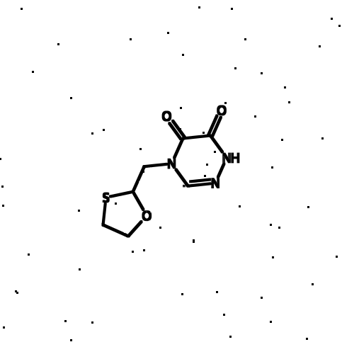 O=c1[nH]n[c]n(CC2OCCS2)c1=O